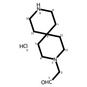 Cl.O=CCN1CCC2(CCNCC2)CC1